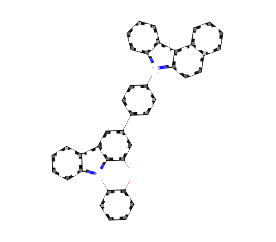 c1ccc2c(c1)Oc1cc(-c3ccc(-n4c5ccccc5c5c6ccccc6ccc54)cc3)cc3c4ccccc4n-2c13